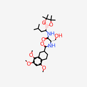 COc1cc(OC)c(OC)c2c1CCC(C(=O)N[C@@H](CO)C(=O)NC(CC(C)C)B1OC(C)(C)C(C)(C)O1)C2